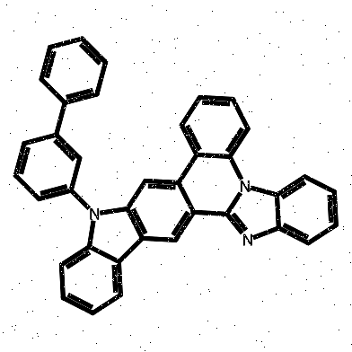 c1ccc(-c2cccc(-n3c4ccccc4c4cc5c(cc43)c3ccccc3n3c4ccccc4nc53)c2)cc1